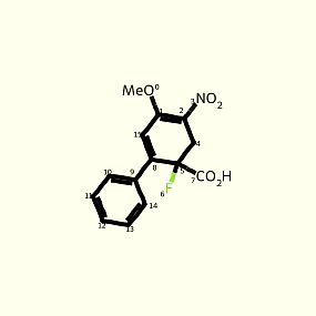 COC1=C([N+](=O)[O-])CC(F)(C(=O)O)C(c2ccccc2)=C1